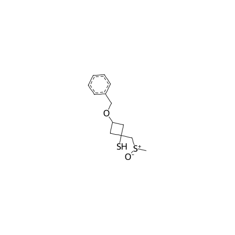 C[S+]([O-])CC1(S)CC(OCc2ccccc2)C1